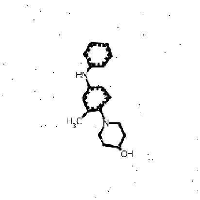 Cc1cc(Nc2ccccc2)ccc1N1CCC(O)CC1